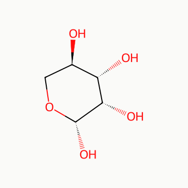 O[C@@H]1[C@H](O)[C@H](O)OC[C@H]1O